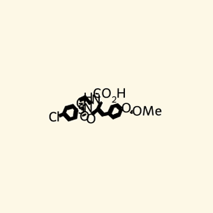 C=CCN(C/C(=C\c1ccc(OCOC)cc1)C(=O)NS(=O)(=O)c1ccc(Cl)cc1)C(=O)O